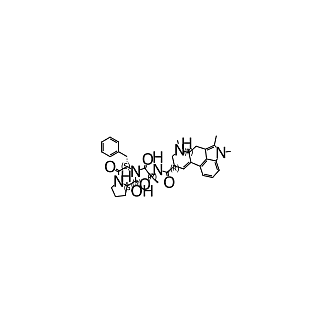 Cc1c2c3c(cccc3n1C)C1=C[C@@H](C(=O)N[C@]3(C)O[C@@]4(O)[C@@H]5CCCN5C(=O)[C@H](Cc5ccccc5)N4C3=O)CN(C)[C@@H]1C2